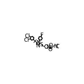 CCN(CC)CCS(=O)(=O)N1CCC(CSc2ncc(C(C)(C)c3ccc(Cl)c(Cl)c3)n2-c2ccc(F)cc2)CC1